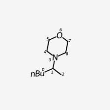 [CH2]CCCC(C)N1CCOCC1